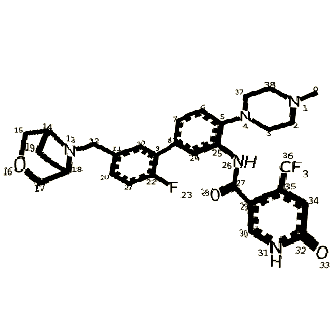 CN1CCN(c2ccc(-c3cc(CN4C5COCC4C5)ccc3F)cc2NC(=O)c2c[nH]c(=O)cc2C(F)(F)F)CC1